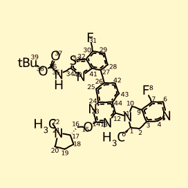 C[C@@H]1Cc2cncc(F)c2CN1c1nc(OC[C@@H]2CCCN2C)nc2cc(-c3ccc(F)c4sc(NC(=O)OC(C)(C)C)nc34)ccc12